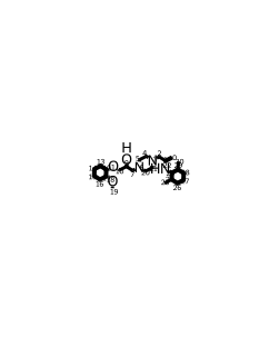 C=C(CN1CCN(CC(O)COc2ccccc2OC)CC1)Nc1c(C)cccc1C